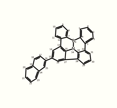 c1ccc2c(c1)B1c3ccccc3-c3cc(-c4ccc5ccccc5c4)cc4c5cccc-2c5n1c34